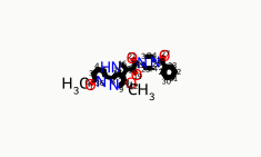 COc1cccc(-c2ncc(OC)c3c2NCC3C(=O)C(=O)N2CCN(C(=O)c3ccccc3)CC2)n1